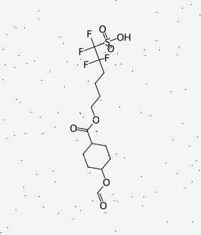 O=COC1CCC(C(=O)OCCCCC(F)(F)C(F)(F)S(=O)(=O)O)CC1